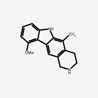 COc1cccc2[nH]c3c(C)c4c(cc3c12)CNCC4